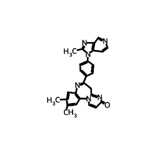 Cc1cc2c(cc1C)-n1ccc(=O)nc1CC(c1ccc(-n3c(C)nc4cnccc43)cc1)=N2